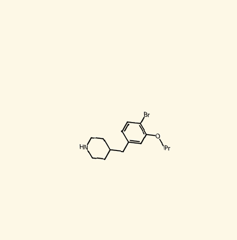 CC(C)Oc1cc(CC2CCNCC2)ccc1Br